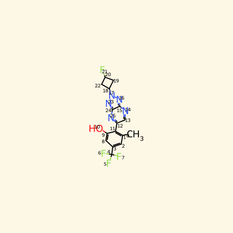 Cc1cc(C(F)(F)F)cc(O)c1-c1cnc2nn(C3CC(F)C3)nc2n1